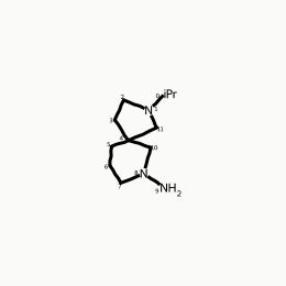 CC(C)N1CCC2(CCCN(N)C2)C1